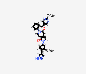 COc1ncc(C(=O)c2ccccc2N2CCC3(CC2)CCN(c2ccc(-c4cn[nH]c4)c(OC)c2)C3=O)cn1